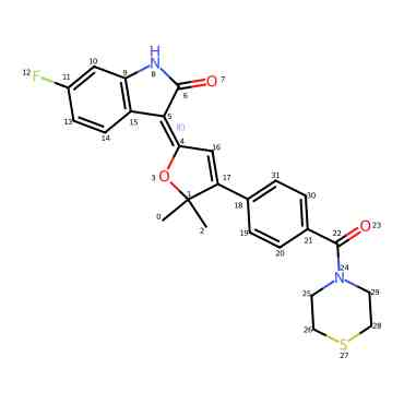 CC1(C)O/C(=C2/C(=O)Nc3cc(F)ccc32)C=C1c1ccc(C(=O)N2CCSCC2)cc1